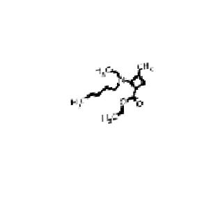 CCCCCN(CC)C1C(C)CC1C(=O)OCC